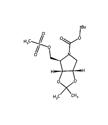 CC(C)(C)OC(=O)N1C[C@@H]2OC(C)(C)O[C@@H]2[C@H]1COS(C)(=O)=O